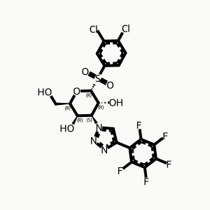 O=S(=O)(c1ccc(Cl)c(Cl)c1)[C@H]1O[C@H](CO)[C@H](O)[C@H](n2cc(-c3c(F)c(F)c(F)c(F)c3F)nn2)[C@H]1O